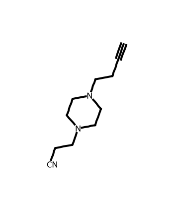 C#CCCN1CCN(CCC#N)CC1